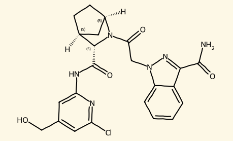 NC(=O)c1nn(CC(=O)N2[C@@H]3CC[C@@H](C3)[C@H]2C(=O)Nc2cc(CO)cc(Cl)n2)c2ccccc12